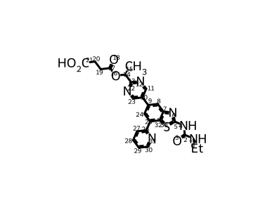 CCNC(=O)Nc1nc2cc(-c3cnc([C@H](C)OC(=O)CCC(=O)O)nc3)cc(-c3ccccn3)c2s1